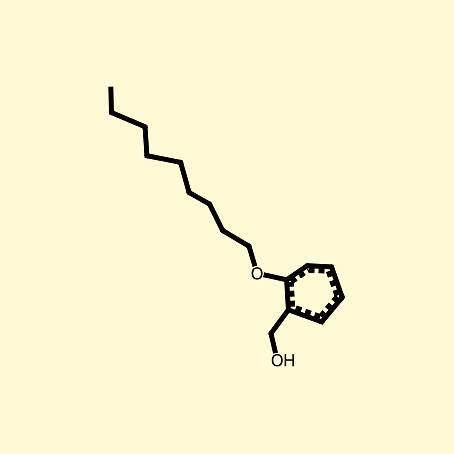 CCCCCCCCCOc1ccccc1CO